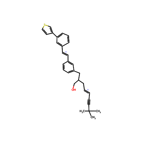 CC(C)(C)C#C/C=C/CC(CO)Cc1cccc(/C=C/c2cccc(-c3ccsc3)c2)c1